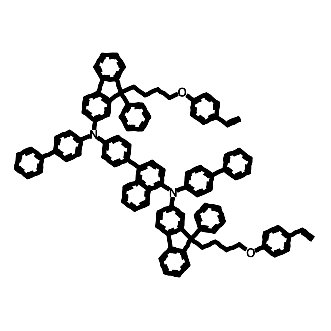 C=Cc1ccc(OCCCCC2(c3ccccc3)c3ccccc3-c3ccc(N(c4ccc(-c5ccccc5)cc4)c4ccc(-c5ccc(N(c6ccc(-c7ccccc7)cc6)c6ccc7c(c6)C(CCCCOc6ccc(C=C)cc6)(c6ccccc6)c6ccccc6-7)c6ccccc56)cc4)cc32)cc1